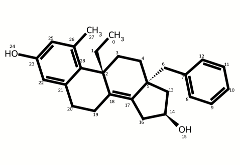 CC[C@@]12CC[C@@]3(Cc4ccccc4)C[C@@H](O)CC3=C1CCc1cc(O)cc(C)c12